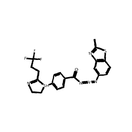 Cc1nc2cc(N=[N+]=NC(=O)c3ccc([SH]4CCN=C4CCC(F)(F)F)cc3)ccc2s1